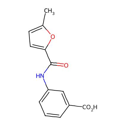 Cc1ccc(C(=O)Nc2cccc(C(=O)O)c2)o1